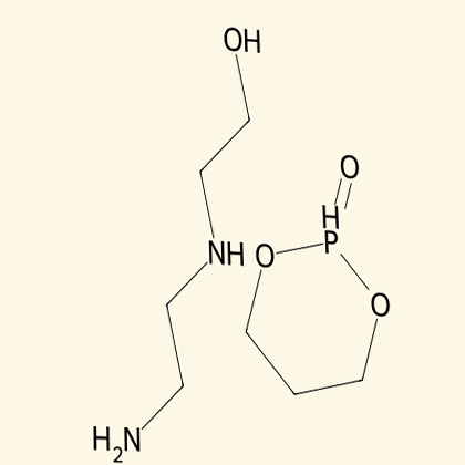 NCCNCCO.O=[PH]1OCCCO1